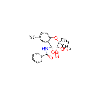 CC1(C)Oc2ccc(C#N)cc2C(O)(NC(=O)c2ccccc2)C1(O)O